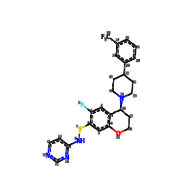 Fc1cc2c(cc1SNc1ccncn1)OCC[C@@H]2N1CCC(c2cccc(C(F)(F)F)c2)CC1